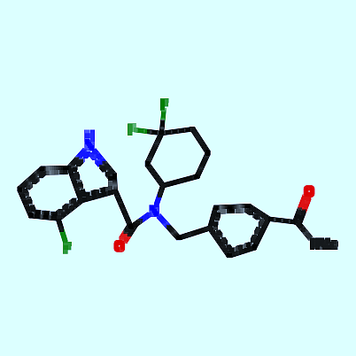 CNC(=O)c1ccc(CN(C(=O)c2c[nH]c3cccc(F)c23)C2CCCC(F)(F)C2)cc1